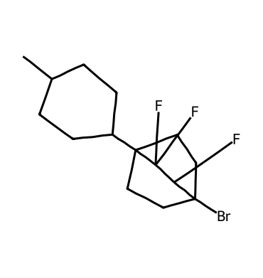 CC1CCC(C23CCC(Br)(CC2)C(F)C3(F)F)CC1